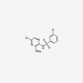 COc1nc(Cl)cnc1NS(=O)(=O)c1cccc(Cl)c1